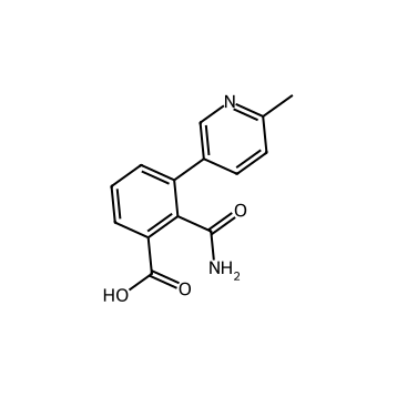 Cc1ccc(-c2cccc(C(=O)O)c2C(N)=O)cn1